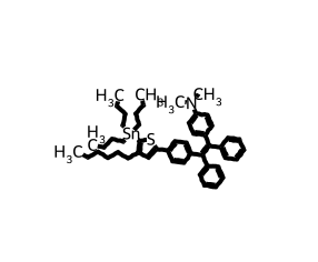 CCCCCCc1cc(-c2ccc(C(=C(c3ccccc3)c3ccc(N(C)C)cc3)c3ccccc3)cc2)s[c]1[Sn]([CH2]CCC)([CH2]CCC)[CH2]CCC